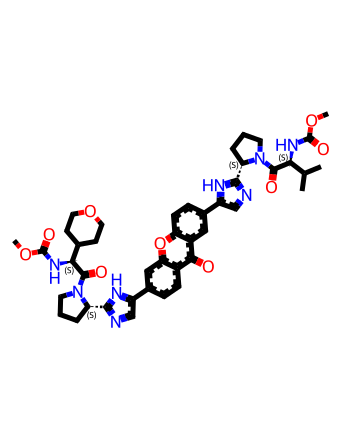 COC(=O)N[C@H](C(=O)N1CCC[C@H]1c1ncc(-c2ccc3oc4cc(-c5cnc([C@@H]6CCCN6C(=O)[C@@H](NC(=O)OC)C6CCOCC6)[nH]5)ccc4c(=O)c3c2)[nH]1)C(C)C